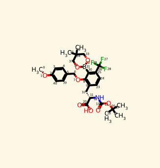 COc1ccc(COc2c(C[C@H](NC(=O)OC(C)(C)C)C(=O)O)ccc(C(F)(F)F)c2B2OCC(C)(C)CO2)cc1